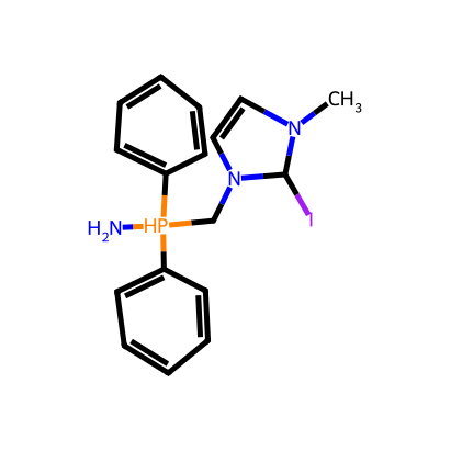 CN1C=CN(C[PH](N)(c2ccccc2)c2ccccc2)C1I